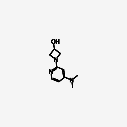 CN(C)c1ccnc(N2CC(O)C2)c1